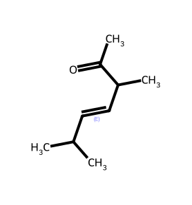 CC(=O)C(C)/C=C/C(C)C